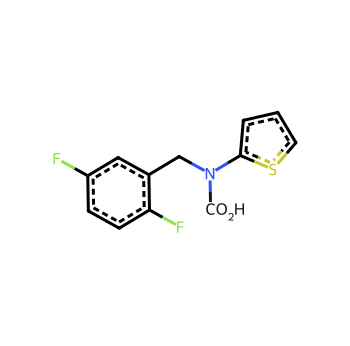 O=C(O)N(Cc1cc(F)ccc1F)c1cccs1